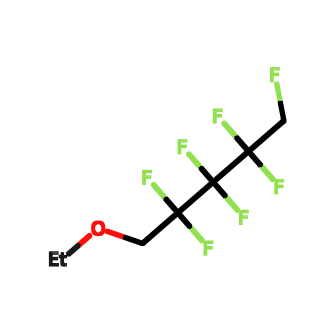 CCOCC(F)(F)C(F)(F)C(F)(F)CF